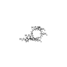 CC(=Cc1csc(C)n1)C1OCCCC(C)(C)C(=O)C(C)CC(C)CCCC2(C)OC2(O)C1O